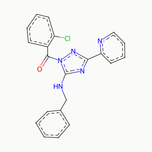 O=C(c1ccccc1Cl)n1nc(-c2ccccn2)nc1NCc1ccccc1